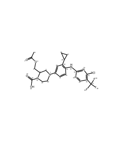 CC(=O)OCC1CN(c2ccc(Nc3ncc(C(F)(F)F)c(Cl)n3)c(C3CC3)c2)CCN1C(=O)O